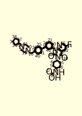 O=C(O)NC1CCC(n2c(=O)c3cc(F)cnc3n(-c3cccc(-c4ccc(CN5CCN(C6CCCC6)CC5)cc4)c3)c2=O)CC1